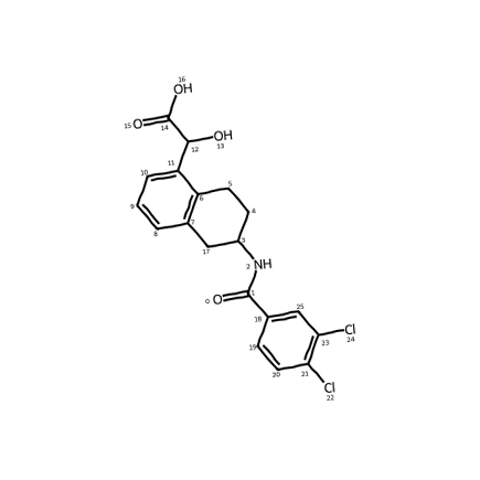 O=C(NC1CCc2c(cccc2C(O)C(=O)O)C1)c1ccc(Cl)c(Cl)c1